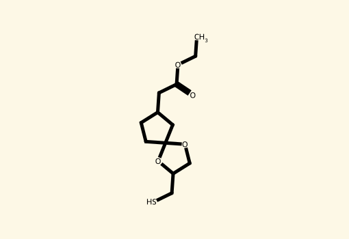 CCOC(=O)CC1CCC2(C1)OCC(CS)O2